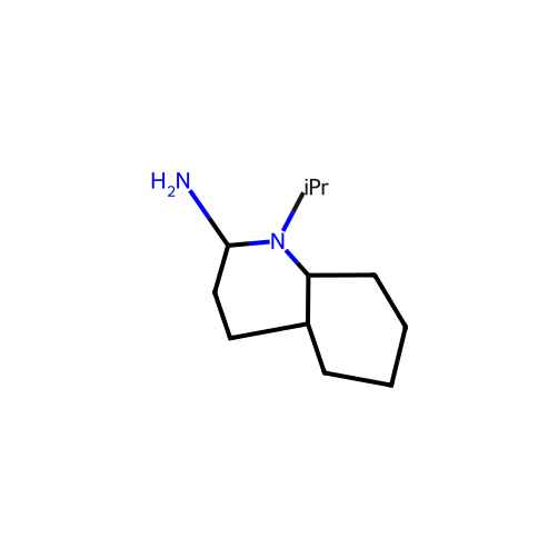 CC(C)N1C(N)CCC2CCCCC21